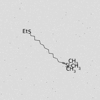 CCSCCCCCCCCCCCCCC#C[Si](C)(C)C